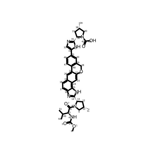 COC(=O)N[C@H](C(=O)N1C[C@@H](C)C[C@H]1c1nc2ccc3cc4c(cc3c2[nH]1)OCc1cc(-c2cnc([C@@H]3C[C@H](C)CN3C(=O)O)[nH]2)ccc1-4)C(C)C